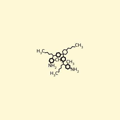 CCCCCC1CCC(c2ccc(C(CCCCC)c3ccc(N)cc3C)cc2)(c2ccc(C(CCCCC)c3ccc(N)cc3C)cc2)CC1